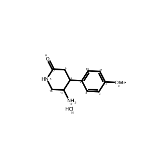 COc1ccc(C2CC(=O)NCC2N)cc1.Cl